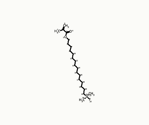 C=C(C)C(=O)OCCCCCCCCCCCCCCCC[Si](C)(C)F